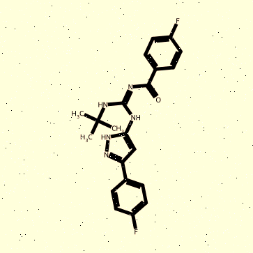 CC(C)(C)N/C(=N/C(=O)c1ccc(F)cc1)Nc1cc(-c2ccc(F)cc2)n[nH]1